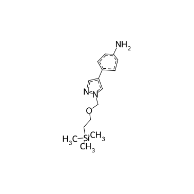 C[Si](C)(C)CCOCn1cc(-c2ccc(N)cc2)cn1